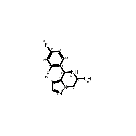 CC1Cn2nccc2C(c2ccc(F)cc2F)N1